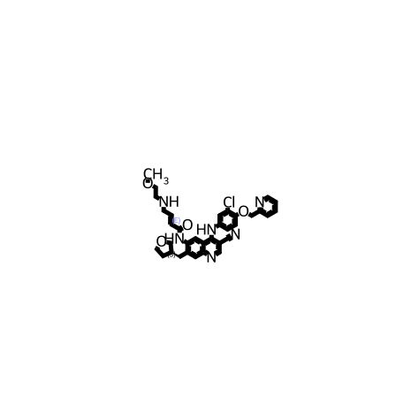 COCCNC/C=C/C(=O)Nc1cc2c(Nc3ccc(OCc4ccccn4)c(Cl)c3)c(C#N)cnc2cc1C[C@H]1CCOC1